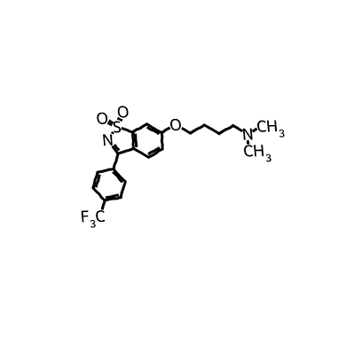 CN(C)CCCCOc1ccc2c(c1)S(=O)(=O)N=C2c1ccc(C(F)(F)F)cc1